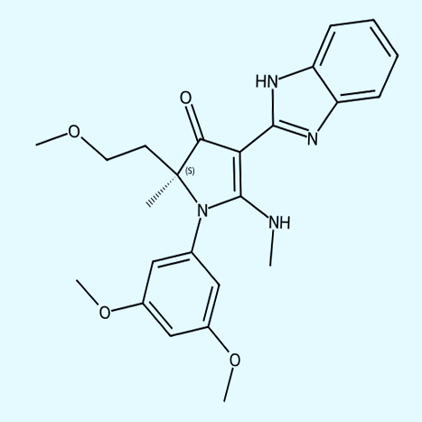 CNC1=C(c2nc3ccccc3[nH]2)C(=O)[C@](C)(CCOC)N1c1cc(OC)cc(OC)c1